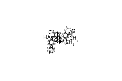 CCN1C(=O)CCCc2cc(Nc3ncc(Cl)c([AsH]c4ccc(N5CCOCC5)cc4OC)n3)c(OC)cc21